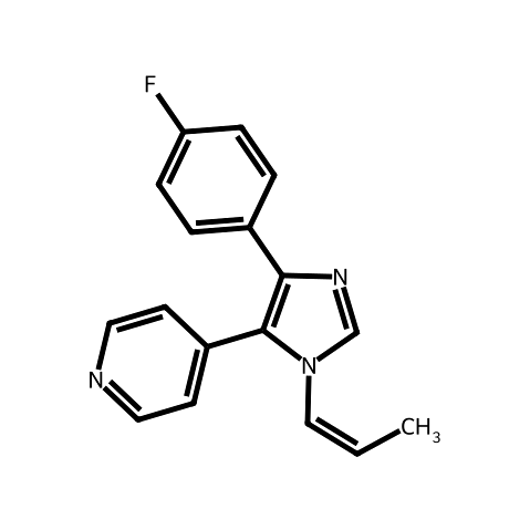 C/C=C\n1cnc(-c2ccc(F)cc2)c1-c1ccncc1